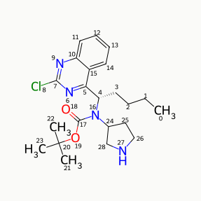 CCCC[C@@H](c1nc(Cl)nc2ccccc12)N(C(=O)OC(C)(C)C)C1CCNC1